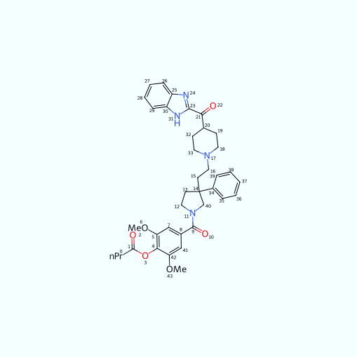 CCCC(=O)Oc1c(OC)cc(C(=O)N2CCC(CCN3CCC(C(=O)c4nc5ccccc5[nH]4)CC3)(c3ccccc3)C2)cc1OC